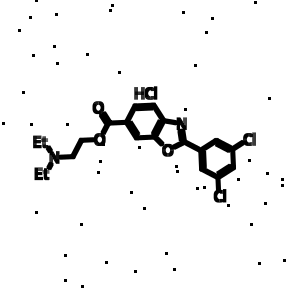 CCN(CC)CCOC(=O)c1ccc2nc(-c3cc(Cl)cc(Cl)c3)oc2c1.Cl